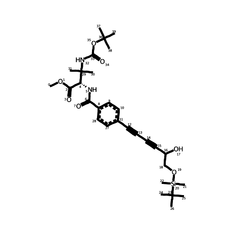 COC(=O)[C@@H](NC(=O)c1ccc(C#CC#CC(O)CO[Si](C)(C)C(C)(C)C)cc1)C(C)(C)NC(=O)OC(C)(C)C